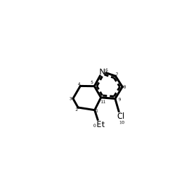 CCC1CCCc2nccc(Cl)c21